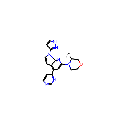 C[C@@H]1COCCN1c1cc(-c2ccncn2)c2ccn(-c3cc[nH]n3)c2n1